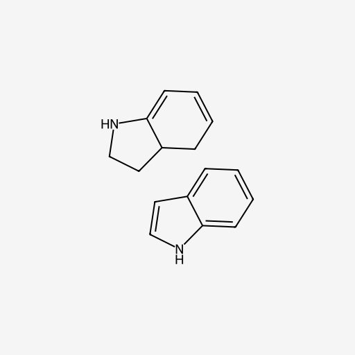 C1=CCC2CCNC2=C1.c1ccc2[nH]ccc2c1